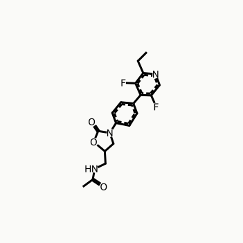 CCc1ncc(F)c(-c2ccc(N3CC(CNC(C)=O)OC3=O)cc2)c1F